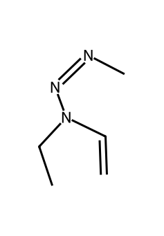 C=CN(CC)/N=N\C